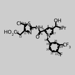 CC(C)C(O)c1cc(C(=O)Nc2nc(CC(=O)O)c(Cl)s2)n(Cc2ccc(F)c(C(F)(F)F)c2)c1